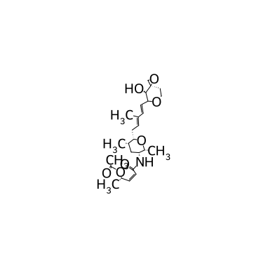 CC(=O)O[C@@H](C)/C=C\C(=O)N[C@@H]1C[C@H](C)[C@H](C/C=C(C)/C=C/C2OCC[C@@]3(CO3)[C@@H]2O)O[C@@H]1C